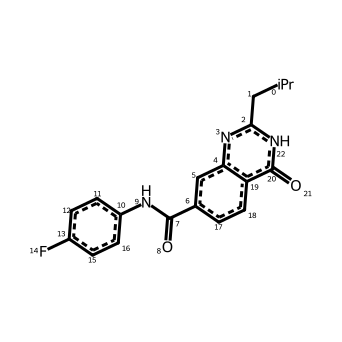 CC(C)Cc1nc2cc(C(=O)Nc3ccc(F)cc3)ccc2c(=O)[nH]1